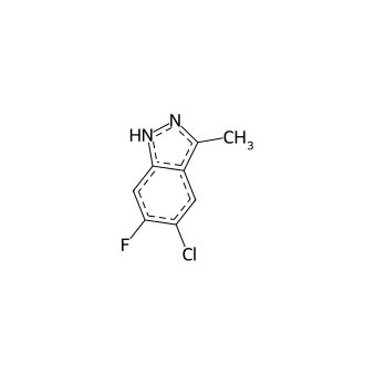 Cc1n[nH]c2cc(F)c(Cl)cc12